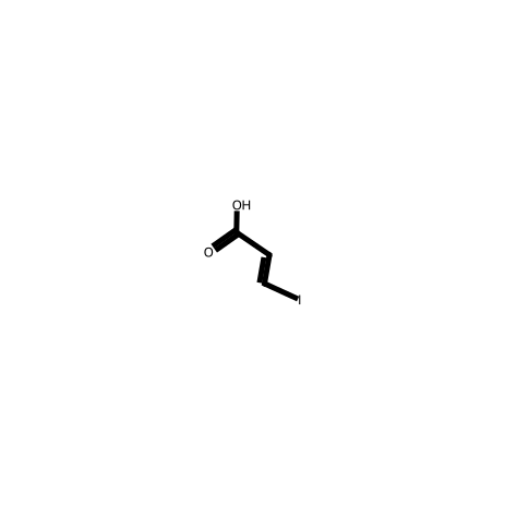 O=C(O)C=CI